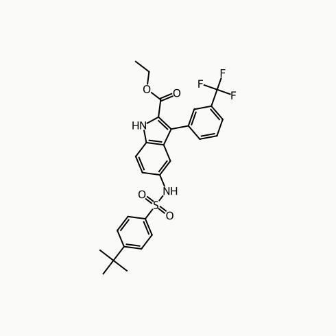 CCOC(=O)c1[nH]c2ccc(NS(=O)(=O)c3ccc(C(C)(C)C)cc3)cc2c1-c1cccc(C(F)(F)F)c1